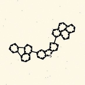 c1ccc2c(c1)-c1cccc3c(-c4ccc5sc6ccc(-c7ccc8ccc9cccc%10ccc7c8c9%10)cc6c5c4)ccc-2c13